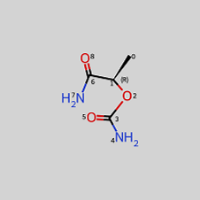 C[C@@H](OC(N)=O)C(N)=O